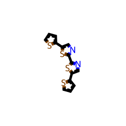 c1csc(-c2cnc(-c3ncc(-c4cccs4)s3)s2)c1